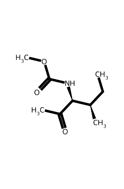 CC[C@@H](C)[C@H](NC(=O)OC)C(C)=O